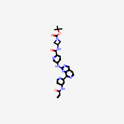 C=CC(=O)Nc1ccnc(-c2nccc3cnc(Nc4ccc(C(=O)NC5CN(C(=O)OC(C)(C)C)C5)nc4)nc23)c1